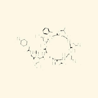 CC(=O)[C@@H]1NC(=O)[C@H](CCN)NC(=O)[C@H](CCN)NC(=O)[C@H](CC(C)C)NC(=O)[C@@H](Cc2ccccc2)NC(=O)[C@H](CCN)NC(=O)[C@@H](NC(=O)[C@H](CCN)NC(=O)[C@H](C)NC(=O)C[C@H]2CC[C@@H](N)CC2)CCNC1=O